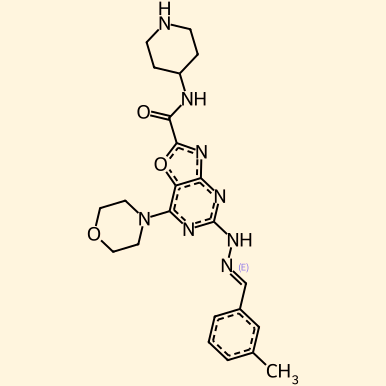 Cc1cccc(/C=N/Nc2nc(N3CCOCC3)c3oc(C(=O)NC4CCNCC4)nc3n2)c1